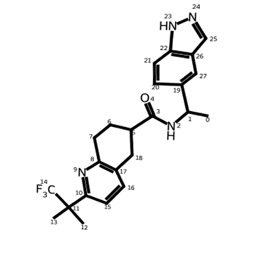 CC(NC(=O)C1CCc2nc(C(C)(C)C(F)(F)F)ccc2C1)c1ccc2[nH]ncc2c1